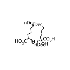 CCCCCCCCCCCCCCC(C)(O)C(=O)O.CCCCCCCCCCCCCCC(CCCCCCCCCCCC)C(=O)O